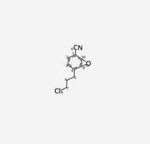 N#Cc1ccc(CCCCl)c2c1O2